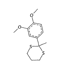 COc1ccc(C2(C)SCCCS2)cc1OC